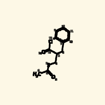 CC(=O)SCC(Cc1ccccc1)C(=O)Cl